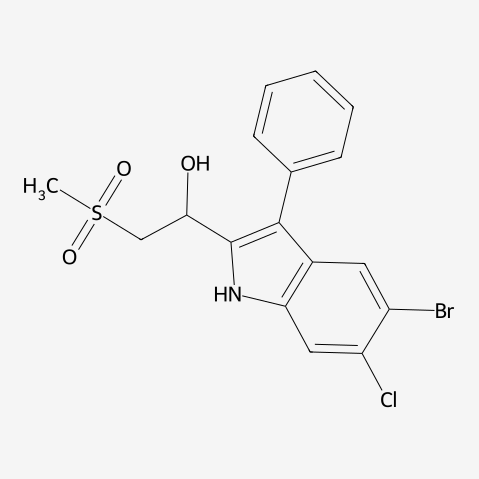 CS(=O)(=O)CC(O)c1[nH]c2cc(Cl)c(Br)cc2c1-c1ccccc1